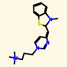 CN1c2ccccc2SC1C=C1C=CN(CCC[N+](C)(C)C)C=N1